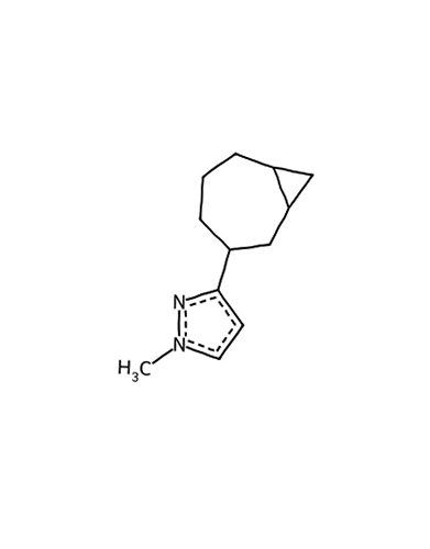 Cn1ccc(C2CCCC3CC3C2)n1